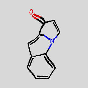 O=C1C=Cn2c1cc1ccccc12